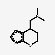 CN(C)CC1CCOc2sccc21